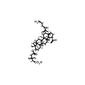 C=C(C)[C@@H]1CC[C@]2(CC(=O)NCCN)CC[C@]3(C)[C@H](CC[C@@H]4[C@@]5(C)CC[C@H](OC(=O)CC(C)(C)CC(=O)O)C(C)(C)[C@@H]5CC[C@]43C)[C@@H]12